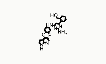 Nc1nc(Nc2ccc(Oc3ccnc4[nH]ccc34)c(F)c2)cc(-c2ccccc2CO)n1